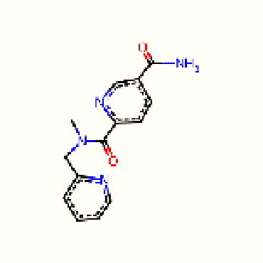 CN(Cc1ccccn1)C(=O)c1ccc(C(N)=O)cn1